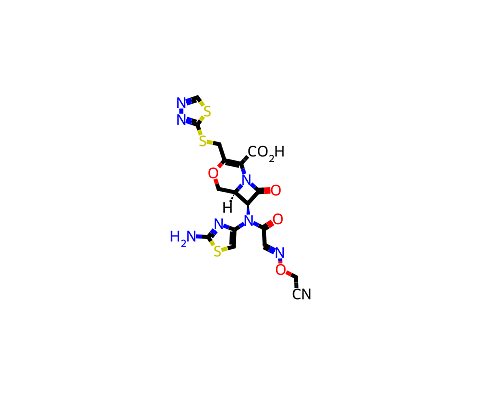 N#CCON=CC(=O)N(c1csc(N)n1)[C@@H]1C(=O)N2C(C(=O)O)=C(CSc3nncs3)OC[C@H]12